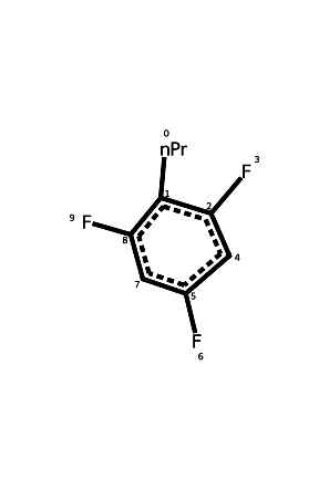 CCCc1c(F)cc(F)cc1F